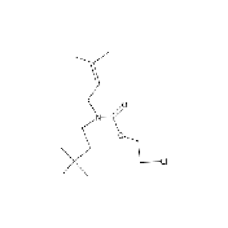 CC(C)=CCN(CCC(C)(C)C)C(=O)OCCCl